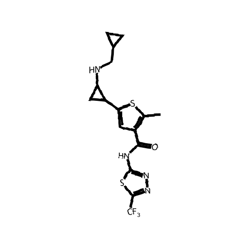 Cc1sc(C2CC2NCC2CC2)cc1C(=O)Nc1nnc(C(F)(F)F)s1